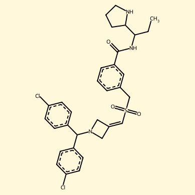 CCC(NC(=O)c1cccc(CS(=O)(=O)C=C2CN(C(c3ccc(Cl)cc3)c3ccc(Cl)cc3)C2)c1)C1CCCN1